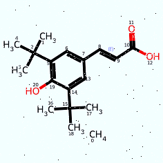 C.CC(C)(C)c1cc(/C=C/C(=O)O)cc(C(C)(C)C)c1O